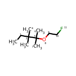 CCC(C)(C)C(C)(C)OCCF